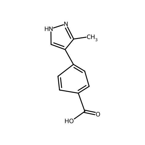 Cc1n[nH]cc1-c1ccc(C(=O)O)cc1